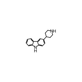 c1ccc2c(c1)[nH]c1ccc(C3CCNCC3)cc12